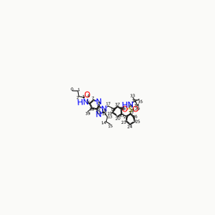 CCCC(=O)Nc1cnc2c(nc(CCC)n2Cc2ccc(-c3ccccc3S(=O)(=O)NC(C)(C)C)cc2)c1C